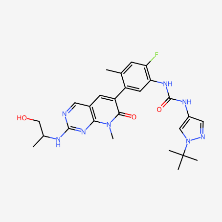 Cc1cc(F)c(NC(=O)Nc2cnn(C(C)(C)C)c2)cc1-c1cc2cnc(NC(C)CO)nc2n(C)c1=O